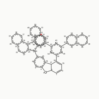 C1=CC2Oc3ccc(-n4c5ccccc5c5c6ccccc6ccc54)cc3C2C(c2nc(-c3ccc4ccccc4c3)nc(-c3ccc4ccccc4c3)n2)=C1